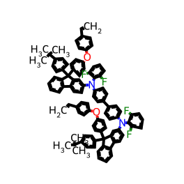 C=Cc1ccc(Oc2ccc(C3(c4ccc(C(C)(C)C)cc4)c4ccccc4-c4ccc(N(c5ccc(-c6ccc(N(c7ccc8c(c7)C(c7ccc(Oc9ccc(C=C)cc9)cc7)(c7ccc(C(C)(C)C)cc7)c7ccccc7-8)c7c(F)cccc7F)cc6)cc5)c5c(F)cccc5F)cc43)cc2)cc1